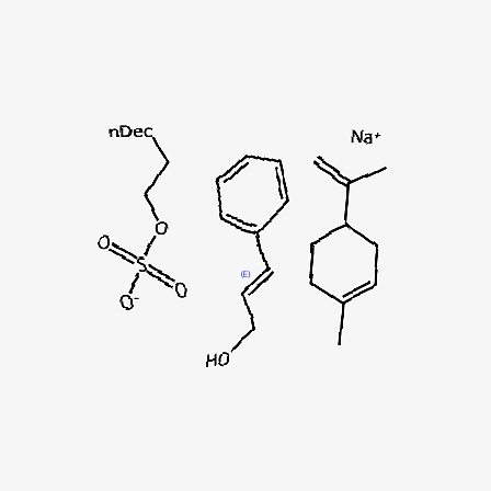 C=C(C)C1CC=C(C)CC1.CCCCCCCCCCCCOS(=O)(=O)[O-].OC/C=C/c1ccccc1.[Na+]